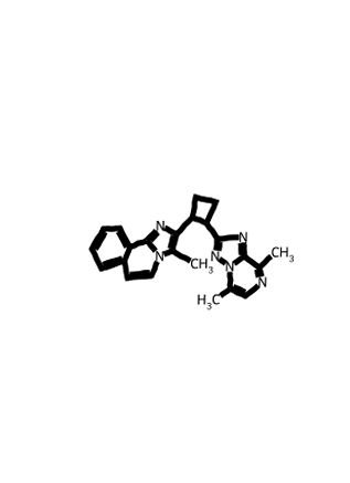 Cc1ncc(C)n2nc(C3CCC3c3nc4c5ccccc5ccn4c3C)nc12